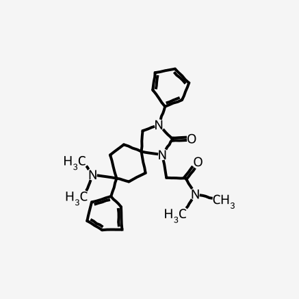 CN(C)C(=O)CN1C(=O)N(c2ccccc2)CC12CCC(c1ccccc1)(N(C)C)CC2